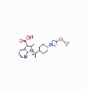 Cc1c(C(=O)O)c2cccnc2n1[C@H](C)C1CCC(N2CC(OC3CC3)C2)CC1